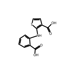 O=C(O)c1ccccc1Nc1sccc1C(=O)O